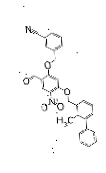 Cc1c(COc2cc(OCc3cccc(C#N)c3)c(C=O)cc2[N+](=O)[O-])cccc1-c1ccccc1